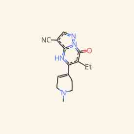 CCc1c(C2=CCN(C)CC2)[nH]c2c(C#N)cnn2c1=O